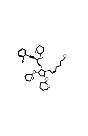 OCCCC/C=C\C[C@@H]1[C@@H](/C=C/C(C#Cc2ccccc2F)OC2CCCCO2)[C@H](OC2CCCCO2)C[C@@H]1OC1CCCCO1